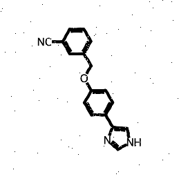 N#Cc1cccc(COc2ccc(-c3c[nH]cn3)cc2)c1